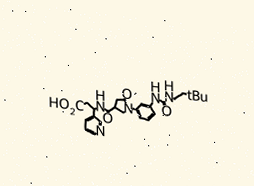 CC(C)(C)CCNC(=O)Nc1cccc(N2CC(C(=O)NC(CC(=O)O)c3cccnc3)CC2=O)c1